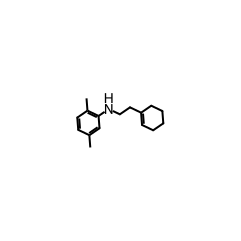 Cc1ccc(C)c(NCCC2=CCCCC2)c1